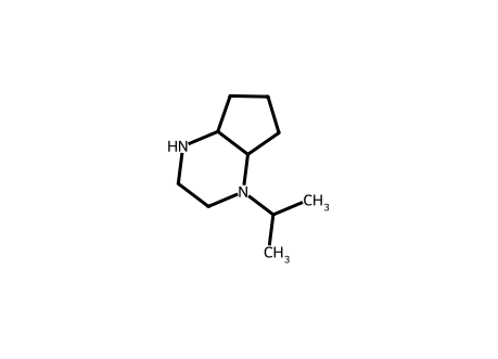 CC(C)N1CCNC2CCCC21